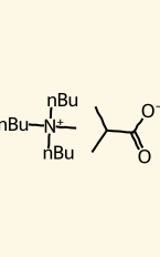 CC(C)C(=O)[O-].CCCC[N+](C)(CCCC)CCCC